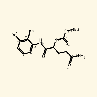 CC(C)(C)OC(=O)N[C@@H](CCC(N)=O)C(=O)Nc1cccc(Br)c1F